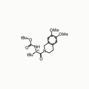 COc1cc2c(cc1OC)CN(C(=O)[C@H](NC(=O)OC(C)(C)C)C(C)(C)C)CC2